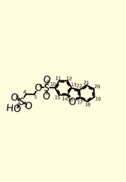 O=S(=O)(O)CCOS(=O)(=O)c1ccc2c(c1)oc1ccccc12